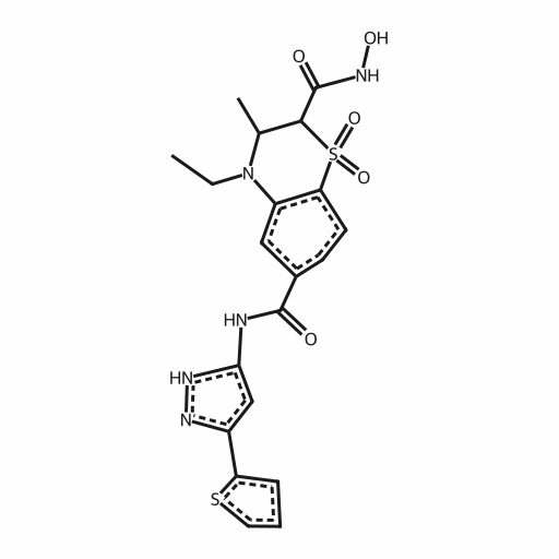 CCN1c2cc(C(=O)Nc3cc(-c4cccs4)n[nH]3)ccc2S(=O)(=O)C(C(=O)NO)C1C